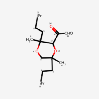 CC(C)CCC1(C)COC(C)(CCC(C)C)C(C(=O)C=O)O1